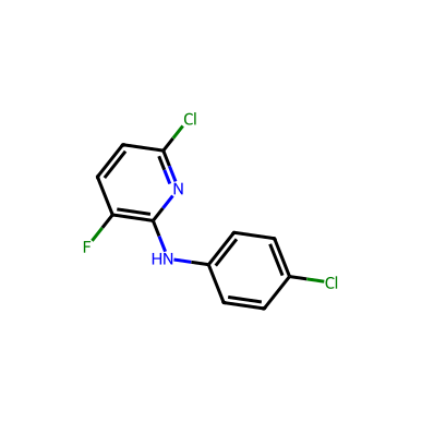 Fc1ccc(Cl)nc1Nc1ccc(Cl)cc1